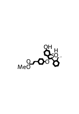 COC(=O)C=Cc1ccc(Oc2c(-c3ccccc3[C@@H](C)O)sc3cc(O)ccc23)cc1